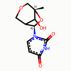 C[C@]12COCC(C1O)[C@H](n1ccc(=O)[nH]c1=O)O2